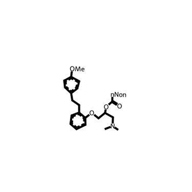 CCCCCCCCCC(=O)OC(COc1ccccc1CCc1ccc(OC)cc1)CN(C)C